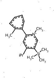 Cc1ccccc1-c1cc(C(C)C)c([Si](C)(C)C)c[n+]1C